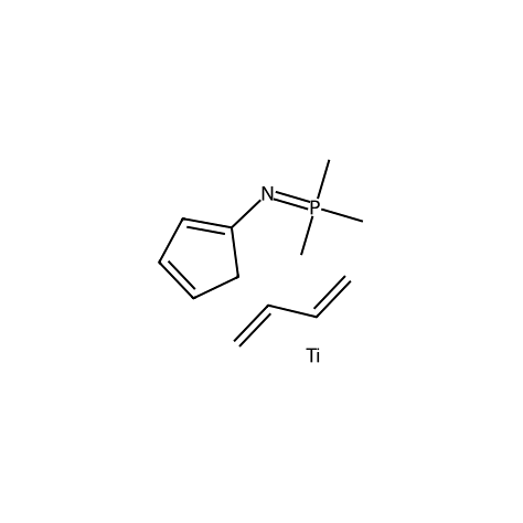 C=CC=C.CP(C)(C)=NC1=CC=CC1.[Ti]